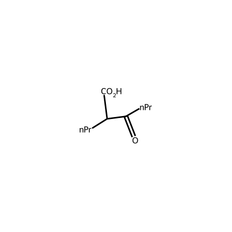 CCCC(=O)C(CCC)C(=O)O